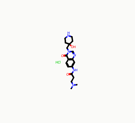 CN(C)CCC(=O)Nc1ccc2c(=O)n(CC3(O)CCNCC3)cnc2c1.Cl